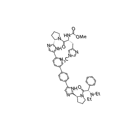 CCN(CC)[C@H](C(=O)N1CCC[C@H]1c1ncc(-c2ccc(-c3ccc(-c4cnc([C@@H]5CCCN5C(=O)[C@@H](Cc5cn(C)cn5)NC(=O)OC)[nH]4)cc3)cc2)[nH]1)c1ccccc1